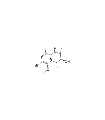 COc1c(Br)cc(C)c2c1[C@@H](C)[C@H](O)C(C)(C)N2